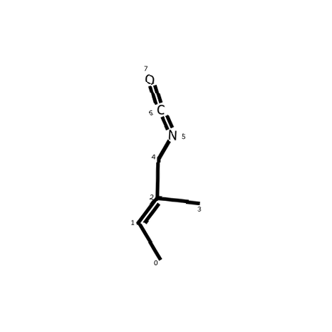 C/C=C(\C)CN=C=O